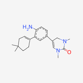 CN1C=C(c2ccc(N)c(C3=CCC(C)(C)CC3)c2)CN(C)C1=O